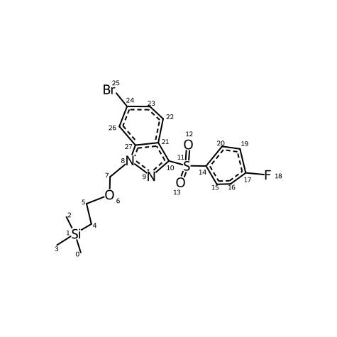 C[Si](C)(C)CCOCn1nc(S(=O)(=O)c2ccc(F)cc2)c2ccc(Br)cc21